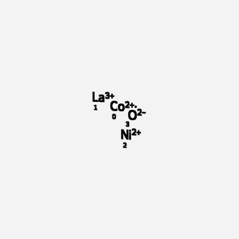 [Co+2].[La+3].[Ni+2].[O-2]